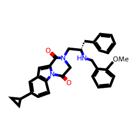 COc1ccccc1CN[C@@H](Cc1ccccc1)CN1CC(=O)n2c(cc3cc(C4CC4)ccc32)C1=O